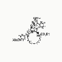 CCOC(=O)C1CCC=CCCCCCN(Cc2ccc(OC)cc2)C(=O)[N+]2CC(Oc3cc(-c4ccccc4)nc(OC)n3)CC2C(=O)N1